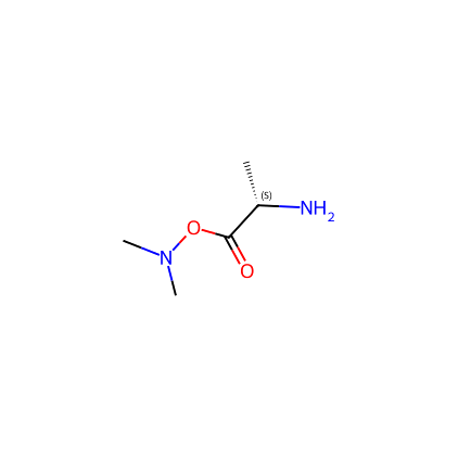 C[C@H](N)C(=O)ON(C)C